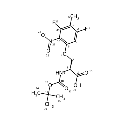 Cc1c(F)cc(OC[C@H](NC(=O)OC(C)(C)C)C(=O)O)c([N+](=O)[O-])c1F